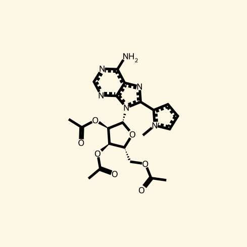 CC(=O)OC[C@H]1O[C@@H](n2c(-c3cccn3C)nc3c(N)ncnc32)[C@H](OC(C)=O)[C@@H]1OC(C)=O